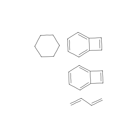 C1=Cc2ccccc21.C1=Cc2ccccc21.C1CCCCC1.C=CC=C